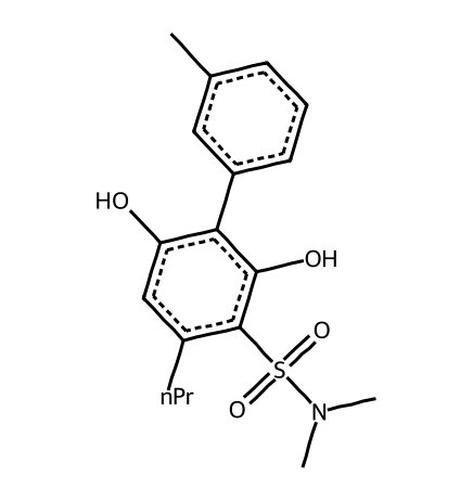 CCCc1cc(O)c(-c2cccc(C)c2)c(O)c1S(=O)(=O)N(C)C